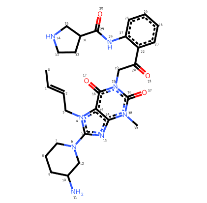 CC=CCn1c(N2CCCC(N)C2)nc2c1c(=O)n(CC(=O)c1ccccc1NC(=O)C1CCNC1)c(=O)n2C